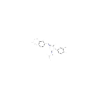 Cc1ccc(N2C(=O)/C(=C/c3ccc4c(c3)CCCO4)S/C2=N\C(C)C)cc1Cl